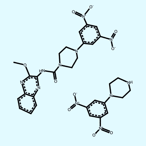 COc1nc2ccccc2nc1NC(=O)N1CCN(c2cc([N+](=O)[O-])cc([N+](=O)[O-])c2)CC1.O=[N+]([O-])c1cc(N2CCNCC2)cc([N+](=O)[O-])c1